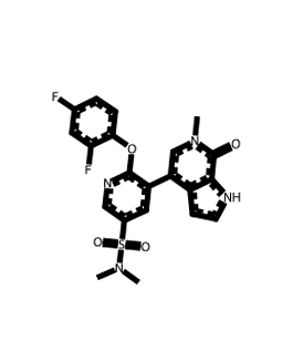 CN(C)S(=O)(=O)c1cnc(Oc2ccc(F)cc2F)c(-c2cn(C)c(=O)c3[nH]ccc23)c1